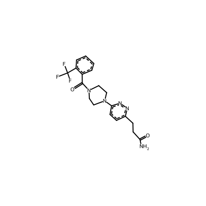 NC(=O)CCc1ccc(N2CCN(C(=O)c3ccccc3C(F)(F)F)CC2)nn1